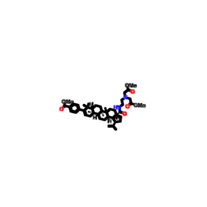 C=C(C)[C@@H]1CC[C@]2(C(=O)NCCN(CC(=O)OC)CC(=O)OC)CC[C@]3(C)[C@H](CC[C@@H]4[C@@]5(C)CC=C(c6ccc(C(=O)OC)cc6)C(C)(C)[C@@H]5CC[C@]43C)[C@@H]12